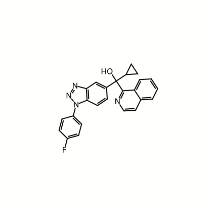 OC(c1ccc2c(c1)nnn2-c1ccc(F)cc1)(c1nccc2ccccc12)C1CC1